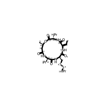 C/C=C1/NC(=O)[C@@H](CSSCCC)NC(=O)[C@@H](C(C)C)NC(=O)C[C@@H](C)OC(=O)[C@H](C(C)C)NC1=O